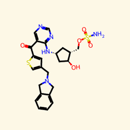 NS(=O)(=O)OC[C@H]1C[C@@H](Nc2ncncc2C(=O)c2cc(CN3Cc4ccccc4C3)cs2)C[C@@H]1O